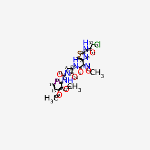 CO/N=C(\C(=O)N[C@H]1CN(C(=O)Nc2pccc(OC)c2OC)C1=O)c1csc(NC(=O)CCl)n1